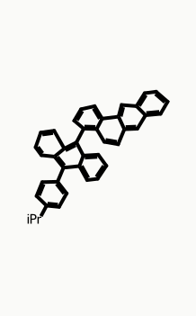 CC(C)c1ccc(-c2c3ccccc3c(-c3cccc4c3ccc3cc5ccccc5cc34)c3ccccc23)cc1